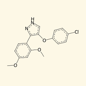 COc1ccc(-c2n[nH]cc2Oc2ccc(Cl)cc2)c(OC)c1